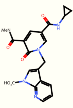 CNC(=O)c1cc(C(=O)NC2CC2)cn(Cc2cn(C(=O)O)c3ncccc23)c1=O